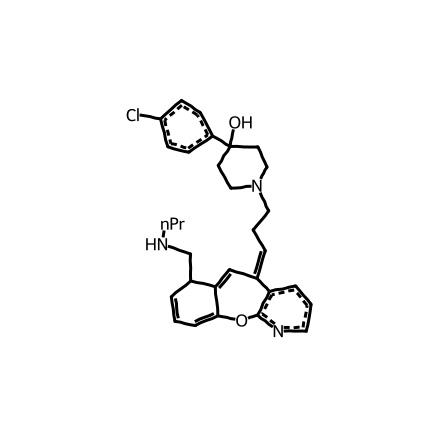 CCCNCC1C=CC=C2Oc3ncccc3C(=CCCN3CCC(O)(c4ccc(Cl)cc4)CC3)C=C21